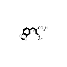 CC(=O)SC[C@H](Cc1ccc2c(c1)OCO2)C(=O)O